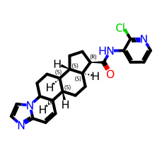 O=C(Nc1cccnc1Cl)[C@@H]1CC[C@H]2[C@@H]3CCC4[C@H](C=Cc5nccn54)[C@H]3CC[C@@H]21